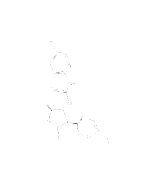 COc1ccc([C@H]2C(C)NC(=O)[C@@H]2NC(=O)Nc2ccc(F)cc2)cc1